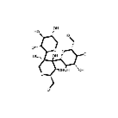 OC[C@H]1O[C@@H]([C@]2(O)[C@H](O)[C@@H](CO)O[CH][C@@]2(O)[C@@H]2OC[C@@H](O)[C@H](O)[C@H]2O)[C@H](O)[C@@H](O)[C@@H]1O